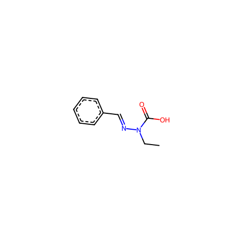 CCN(N=Cc1ccccc1)C(=O)O